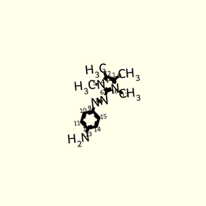 Cc1c(C)[n+](C)c(N=Nc2ccc(N)cc2)n1C